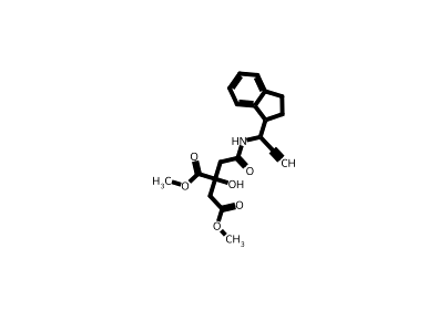 C#CC(NC(=O)CC(O)(CC(=O)OC)C(=O)OC)C1CCc2ccccc21